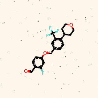 O=Cc1ccc(OCc2ccc(C3CCOCC3)c(C(F)(F)F)c2)cc1F